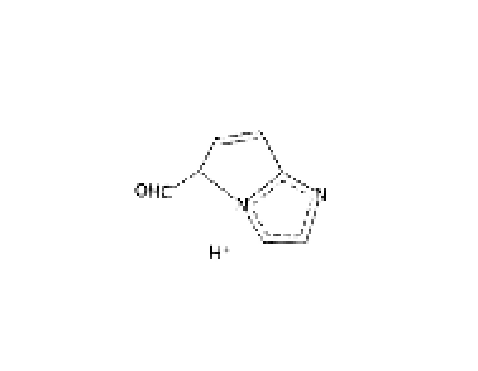 O=CC1C=Cc2nccn21.[H+]